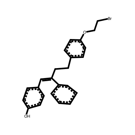 Oc1ccc(C=C(CCc2ccc(OCCBr)cc2)c2ccccc2)cc1